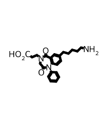 NCCCCCc1ccc2c(c1)C(=O)N(CCC(=O)O)CC(=O)N2c1ccccc1